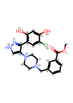 COC(=O)c1cccc(CN2CCN(c3c[nH]nc3-c3cc(Cl)c(O)cc3O)CC2)c1